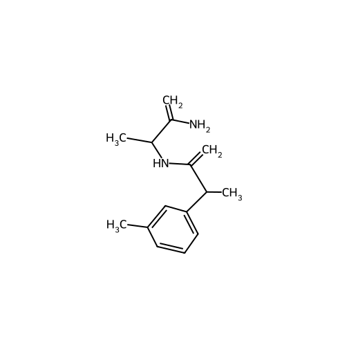 C=C(N)C(C)NC(=C)C(C)c1cccc(C)c1